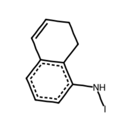 INc1cccc2c1CCC=C2